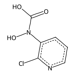 O=C(O)N(O)c1cccnc1Cl